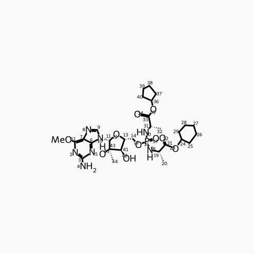 COc1nc(N)nc2c1ncn2[C@@H]1O[C@H](COP(=O)(N[C@@H](C)C(=O)OC2CCCCC2)N[C@@H](C)C(=O)OC2CCCC2)[C@@H](O)[C@@]1(C)O